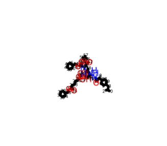 CC(C)Cc1ccc([C@H](C)C(=O)NC[C@H](COP(=O)(O)OCCCCC(=O)OCc2ccccc2)NC(=O)C[C@@H](NC(=O)OCc2ccccc2)C(=O)OC(C)(C)C)cc1